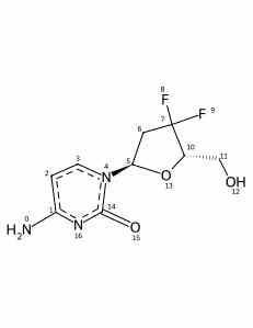 Nc1ccn([C@H]2CC(F)(F)[C@H](CO)O2)c(=O)n1